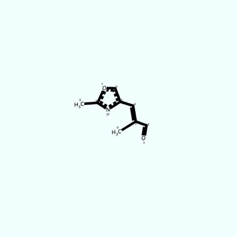 C/C(C=O)=C\c1coc(C)n1